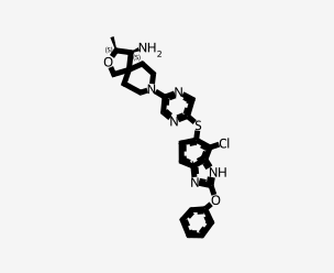 C[C@@H]1OCC2(CCN(c3cnc(Sc4ccc5nc(Oc6ccccc6)[nH]c5c4Cl)cn3)CC2)[C@@H]1N